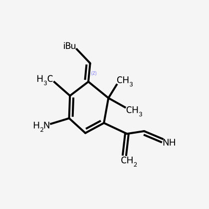 C=C(C=N)C1=CC(N)=C(C)/C(=C\C(C)CC)C1(C)C